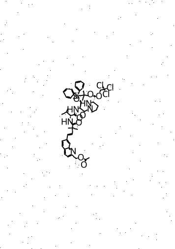 CC(=O)O[C@H](C)c1ccc2ccc(C=CC(C)(C)C(=O)N[C@H](C(=O)N[C@H](C(=O)N3CCC[C@@H](C(=O)OCC(Cl)(Cl)Cl)N3)[C@@H](C)O[Si](c3ccccc3)(c3ccccc3)C(C)(C)C)C(C)C)cc2n1